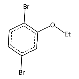 [CH2]COc1cc(Br)ccc1Br